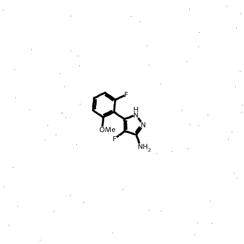 COc1cccc(F)c1-c1[nH]nc(N)c1F